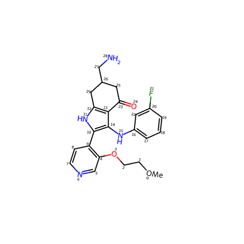 COCCOc1cnccc1-c1[nH]c2c(c1Nc1cccc(F)c1)C(=O)CC(CN)C2